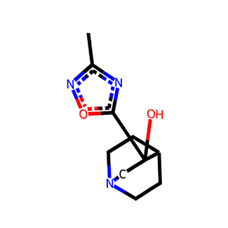 Cc1noc(C2(O)CN3CCC2CC3)n1